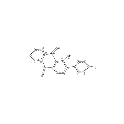 Cc1ccc(-c2ccc3c(c2S)C(=O)c2ccccc2C3=O)cc1